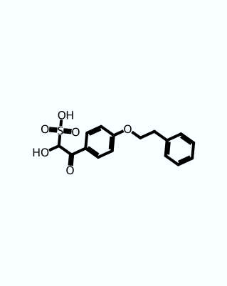 O=C(c1ccc(OCCc2ccccc2)cc1)C(O)S(=O)(=O)O